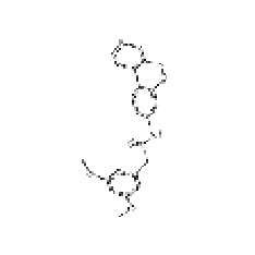 COc1cc(CC(=O)Nc2ccc3c(c2)OCc2cnccc2-3)cc(OC)c1